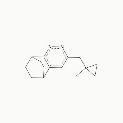 CC1(Cc2cc3c(nn2)C2CCC3CC2)CC1